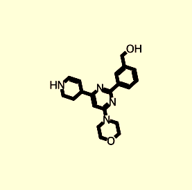 OCc1cccc(-c2nc(C3C=CNCC3)cc(N3CCOCC3)n2)c1